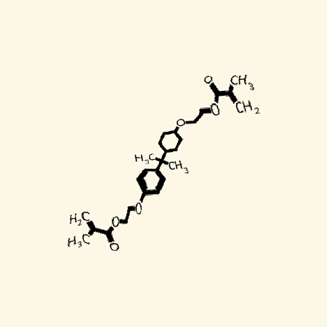 C=C(C)C(=O)OCCOC1=C=CC(C(C)(C)C2CCC(OCCOC(=O)C(=C)C)CC2)=C=C1